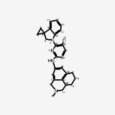 CN1Cc2cc(Nc3ncc(Cl)c(N4CC5(CC5)c5ccccc54)n3)cc3c2C(CCC3)C1